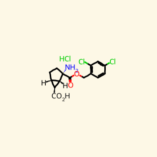 Cl.N[C@@]1(C(=O)OCc2ccc(Cl)cc2Cl)CC[C@H]2[C@H](C(=O)O)[C@H]21